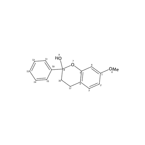 COc1ccc2c(c1)OC(O)(c1ccccc1)CC2